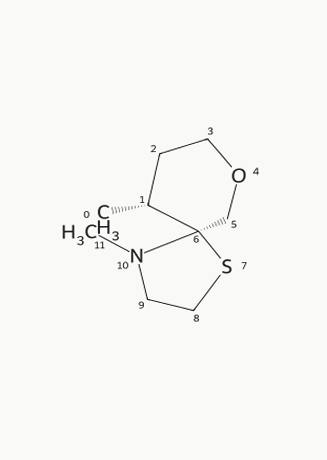 C[C@@H]1CCOC[C@@]12SCCN2C